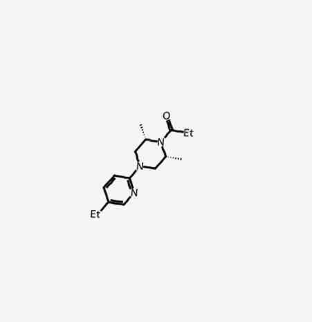 CCC(=O)N1[C@H](C)CN(c2ccc(CC)cn2)C[C@@H]1C